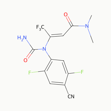 CN(C)C(=O)C=C(N(C(N)=O)c1cc(F)c(C#N)cc1F)C(F)(F)F